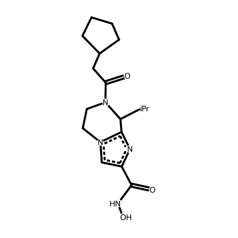 CC(C)C1c2nc(C(=O)NO)cn2CCN1C(=O)CC1CCCC1